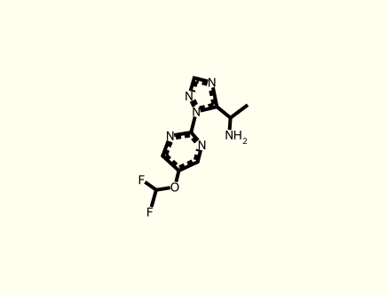 CC(N)c1ncnn1-c1ncc(OC(F)F)cn1